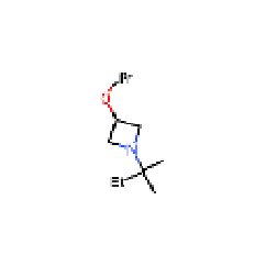 CCC(C)(C)N1CC(OC(C)C)C1